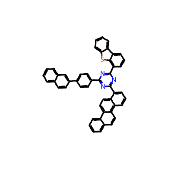 c1ccc2cc(-c3ccc(-c4nc(-c5cccc6c5ccc5c7ccccc7ccc65)nc(-c5cccc6c5sc5ccccc56)n4)cc3)ccc2c1